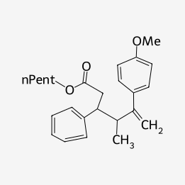 C=C(c1ccc(OC)cc1)C(C)C(CC(=O)OCCCCC)c1ccccc1